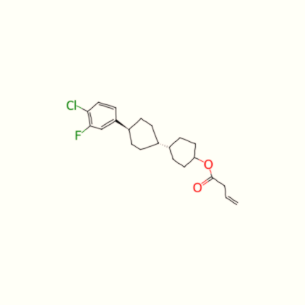 C=CCC(=O)OC1CCC([C@H]2CC[C@H](c3ccc(Cl)c(F)c3)CC2)CC1